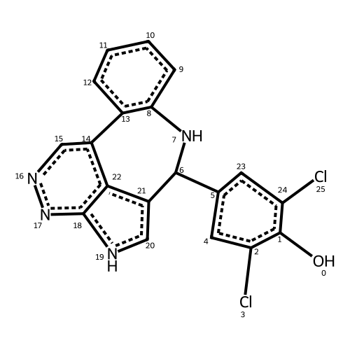 Oc1c(Cl)cc(C2Nc3ccccc3-c3cnnc4[nH]cc2c34)cc1Cl